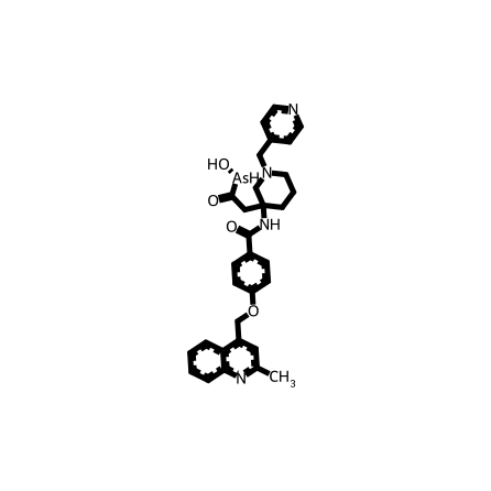 Cc1cc(COc2ccc(C(=O)NC3(CC(=O)[AsH]O)CCCN(Cc4ccncc4)C3)cc2)c2ccccc2n1